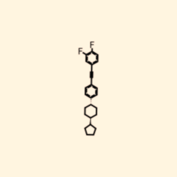 Fc1ccc(C#Cc2ccc([C@H]3CC[C@H](C4CCCC4)CC3)cc2)cc1F